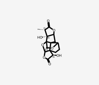 C[C@@H]1C(=O)OC2CC34C5CCC36C(OC(=O)[C@@H]6O)OC4(C(=O)O5)[C@]21O